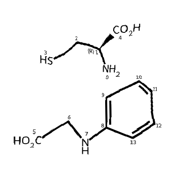 N[C@@H](CS)C(=O)O.O=C(O)CNc1ccccc1